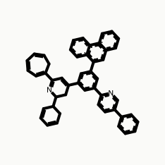 C1=CC=C(C2=NC(C3C=CC=CC3)CC(c3cc(-c4ccc(-c5ccccc5)cn4)cc(-c4cc5ccccc5c5ccccc45)c3)=C2)CC=C1